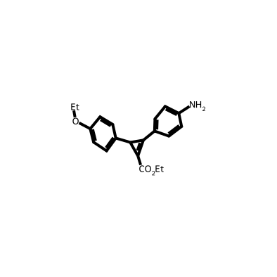 CCOC(=O)C1=C(c2ccc(N)cc2)C1c1ccc(OCC)cc1